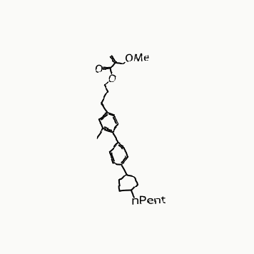 C=C(COC)C(=O)OCCCc1ccc(-c2ccc(C3CCC(CCCCC)CC3)cc2)c(C)c1